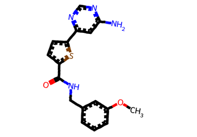 COc1cccc(CNC(=O)c2ccc(-c3cc(N)ncn3)s2)c1